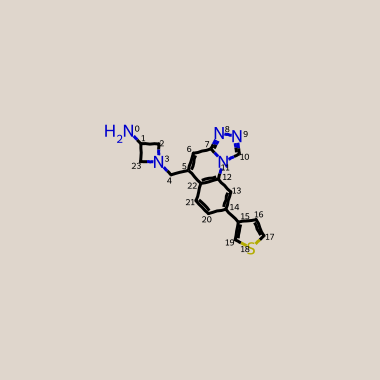 NC1CN(Cc2cc3nncn3c3cc(-c4ccsc4)ccc23)C1